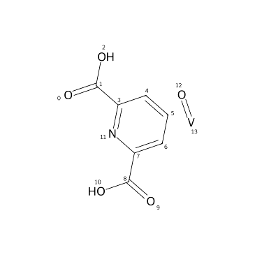 O=C(O)c1cccc(C(=O)O)n1.[O]=[V]